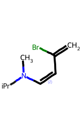 C=C(Br)/C=C\N(C)C(C)C